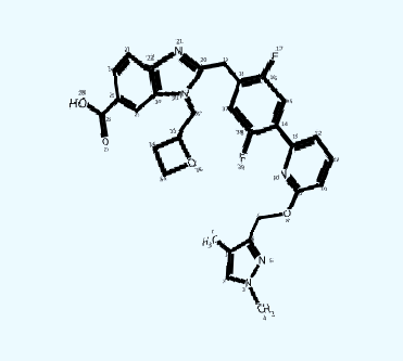 Cc1cn(C)nc1COc1cccc(-c2cc(F)c(Cc3nc4ccc(C(=O)O)cc4n3CC3CCO3)cc2F)n1